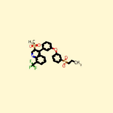 CCCS(=O)(=O)c1cccc(Oc2cccc(-c3c(S(C)(=O)=O)cnc4c(C(F)(F)F)cccc34)c2)c1